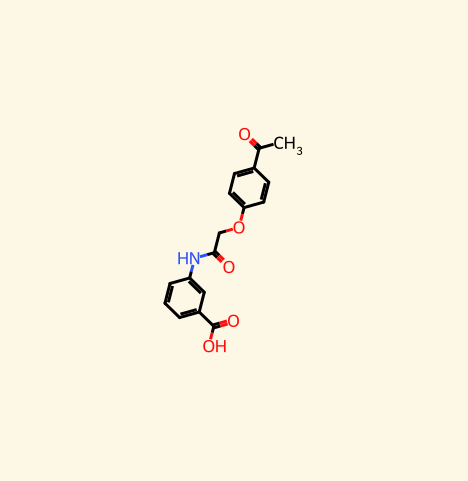 CC(=O)c1ccc(OCC(=O)Nc2cccc(C(=O)O)c2)cc1